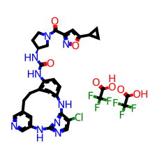 O=C(Nc1ccc2cc1CCc1cncc(c1)Nc1ncc(Cl)c(n1)N2)N[C@H]1CCN(C(=O)c2cc(C3CC3)on2)C1.O=C(O)C(F)(F)F.O=C(O)C(F)(F)F